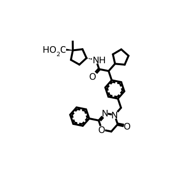 C[C@@]1(C(=O)O)CC[C@@H](NC(=O)C(c2ccc(CN3N=C(c4ccccc4)OCC3=O)cc2)C2CCCC2)C1